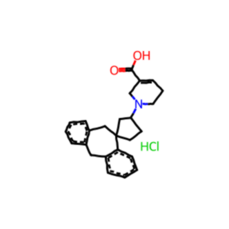 Cl.O=C(O)C1=CCCN(C2CCC3(Cc4ccccc4Cc4ccccc43)C2)C1